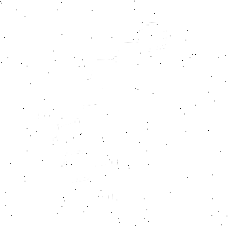 Cc1ccc(OB(O)Oc2ccc(COCc3ccccc3)cc2)cc1Cl